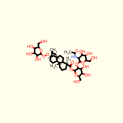 C=C1C[C@@]23CCC4C(C)(CCC[C@@]4(C)C(=O)OC4OC(CO)C(O)C(O)C4OC4OC(CO)C(O)C(O)C4NC(C)=O)C2CC[C@]1(OOC1OC(CO)C(O)C(O)C1O)C3